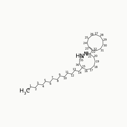 CCCCCCCCCCCCCCCC1CCCCCC(/C2=C/CCCCCCCCC2)=N\NCC1